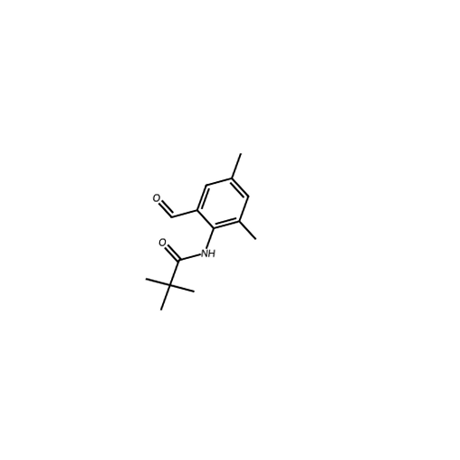 Cc1cc(C)c(NC(=O)C(C)(C)C)c(C=O)c1